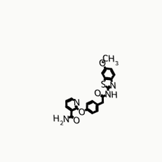 COc1ccc2nc(NC(=O)Cc3ccc(Oc4ncccc4C(N)=O)cc3)sc2c1